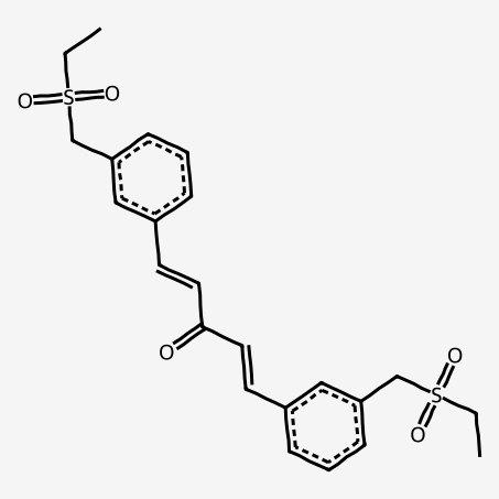 CCS(=O)(=O)Cc1cccc(/C=C/C(=O)/C=C/c2cccc(CS(=O)(=O)CC)c2)c1